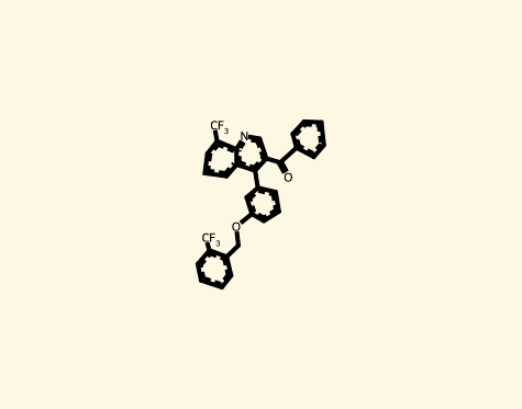 O=C(c1ccccc1)c1cnc2c(C(F)(F)F)cccc2c1-c1cccc(OCc2ccccc2C(F)(F)F)c1